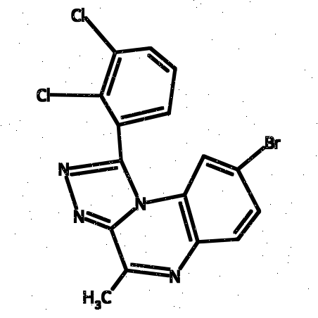 Cc1nc2ccc(Br)cc2n2c(-c3cccc(Cl)c3Cl)nnc12